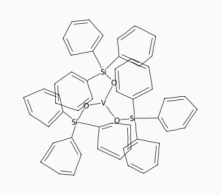 c1ccc([Si]([O][V]([O][Si](c2ccccc2)(c2ccccc2)c2ccccc2)[O][Si](c2ccccc2)(c2ccccc2)c2ccccc2)(c2ccccc2)c2ccccc2)cc1